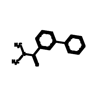 CN(C)C(=O)c1cccc(-c2ccccc2)c1